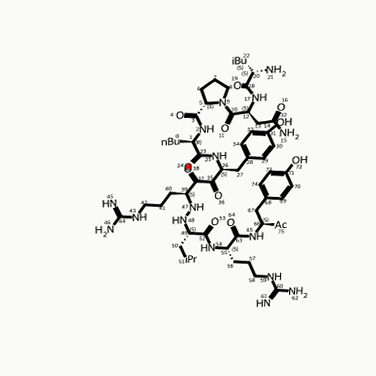 CCCC[C@@H](NC(=O)[C@@H]1CCCN1C(=O)[C@H](CC(N)=O)NC(=O)[C@@H](N)[C@@H](C)CC)C(=O)N[C@@H](Cc1ccc(O)cc1)C(=O)C(=O)[C@H](CCCNC(=N)N)NN[C@@H](CC(C)C)C(=O)N[C@@H](CCCNC(=N)N)C(=O)N[C@@H](Cc1ccc(O)cc1)C(C)=O